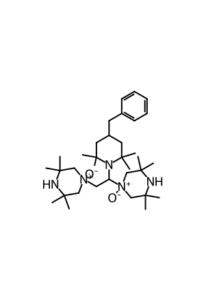 CC1(C)C[N+]([O-])(CC(N2C(C)(C)CC(Cc3ccccc3)CC2(C)C)[N+]2([O-])CC(C)(C)NC(C)(C)C2)CC(C)(C)N1